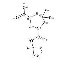 C=CC(C)(CC)OC(=O)N1CC(C(=O)O)CC(F)(F)C1